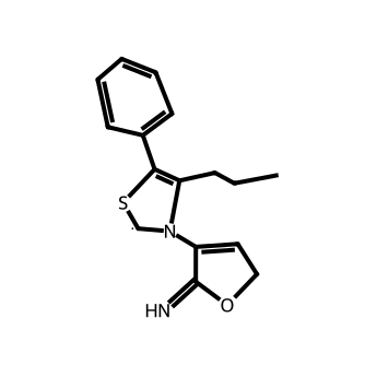 CCCC1=C(c2ccccc2)S[CH]N1C1=CCOC1=N